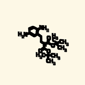 CC(C)(C)OC(=O)N(CCc1cc(N)ccc1N)C(=O)OC(C)(C)C